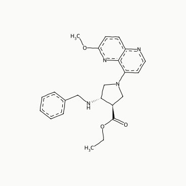 CCOC(=O)[C@@H]1CN(c2ccnc3ccc(OC)nc23)C[C@H]1NCc1ccccc1